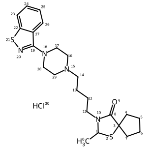 CC1SC2(CCCC2)C(=O)N1CCCCN1CCN(c2nsc3ccccc23)CC1.Cl